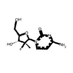 C[C@]1(F)C(n2ccc(N)nc2=O)OC(CO)[C@H]1O